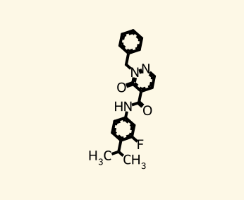 CC(C)c1ccc(NC(=O)c2ccnn(Cc3ccccc3)c2=O)cc1F